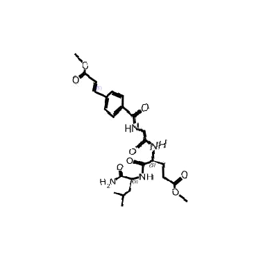 COC(=O)/C=C/c1ccc(C(=O)NCC(=O)N[C@@H](CCC(=O)OC)C(=O)N[C@@H](CC(C)C)C(N)=O)cc1